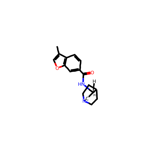 Cc1coc2cc(C(=O)N[C@H]3CN4CCC3CC4)ccc12